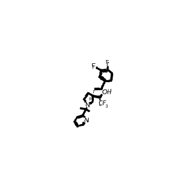 CC(C)(c1ccccn1)N1CC[C@@](CCc2ccc(F)c(F)c2)([C@@H](O)C(F)(F)F)C1